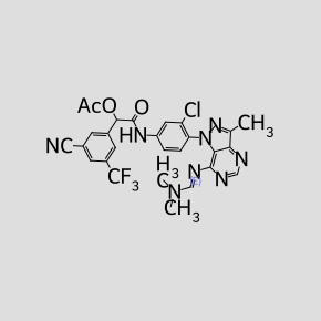 CC(=O)OC(C(=O)Nc1ccc(-n2nc(C)c3ncnc(/N=C/N(C)C)c32)c(Cl)c1)c1cc(C#N)cc(C(F)(F)F)c1